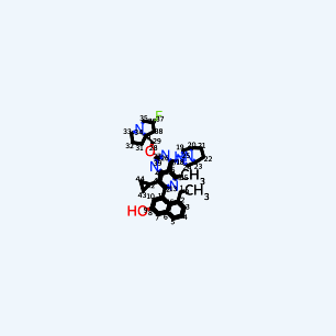 CCc1cccc2cc(O)cc(-c3nc(C)c4c(N5CC6CCC(C5)N6)nc(OC[C@@]56CCCN5C[C@H](F)C6)nc4c3C3CC3)c12